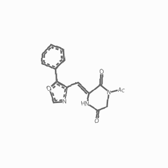 CC(=O)N1CC(=O)NC(=Cc2ncoc2-c2ccccc2)C1=O